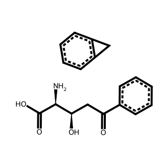 N[C@H](C(=O)O)[C@H](O)CC(=O)c1ccccc1.c1ccc2c(c1)C2